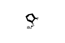 CCC(C)Sc1ccccc1F